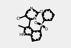 Cc1[nH]c2cccc(S(=O)(=O)c3ccccc3)c2c1-c1nc(Cl)ncc1Cl